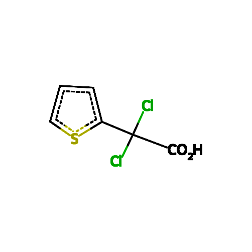 O=C(O)C(Cl)(Cl)c1cccs1